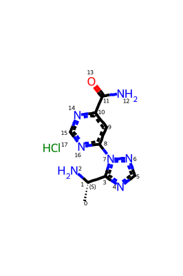 C[C@H](N)c1ncnn1-c1cc(C(N)=O)ncn1.Cl